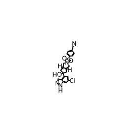 N#Cc1ccc(S(=O)(=O)N2C[C@@H]3CC(O)(c4cc(Cl)cc5[nH]ncc45)C[C@@H]3C2)cc1